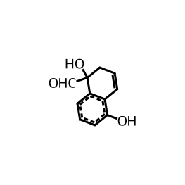 O=CC1(O)CC=Cc2c(O)cccc21